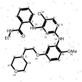 CCNC(=O)c1ccccc1Nc1nc(Nc2cc(OCCN3CCOCC3)ccc2OC)ncc1Cl